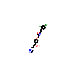 OC(CCCn1ccnn1)c1ccc(OCc2coc(/C=C/c3ccc(Br)cc3F)n2)cc1